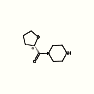 O=C([C@@H]1CCCO1)N1CCNCC1